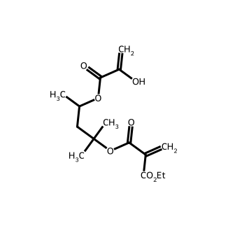 C=C(O)C(=O)OC(C)CC(C)(C)OC(=O)C(=C)C(=O)OCC